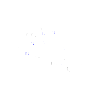 CCC[C@H](c1nc2cc(CN3CCC(c4cccc(O)c4)(N(C)C)CC3)cnc2n1CCC)N1C[C@@H](C)N[C@@H](C)C1